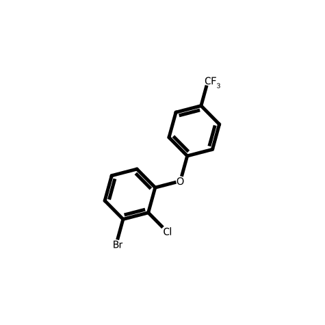 FC(F)(F)c1ccc(Oc2cccc(Br)c2Cl)cc1